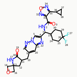 O=C(N[C@H](c1cn2ncc(CC3CC4(COC4)NC3=O)cc2n1)C1CCC(F)(F)CC1)c1nonc1C1CC1